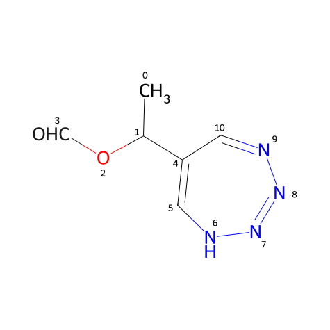 CC(OC=O)C1=CNN=NN=C1